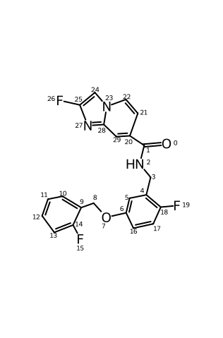 O=C(NCc1cc(OCc2ccccc2F)ccc1F)c1ccn2cc(F)nc2c1